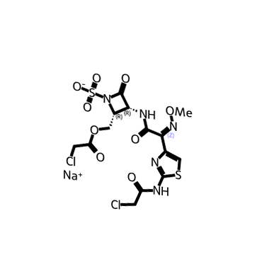 CO/N=C(\C(=O)N[C@H]1C(=O)N(S(=O)(=O)[O-])[C@H]1COC(=O)CCl)c1csc(NC(=O)CCl)n1.[Na+]